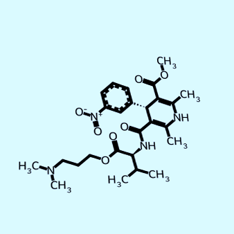 COC(=O)C1=C(C)NC(C)=C(C(=O)N[C@H](C(=O)OCCCN(C)C)C(C)C)[C@@H]1c1cccc([N+](=O)[O-])c1